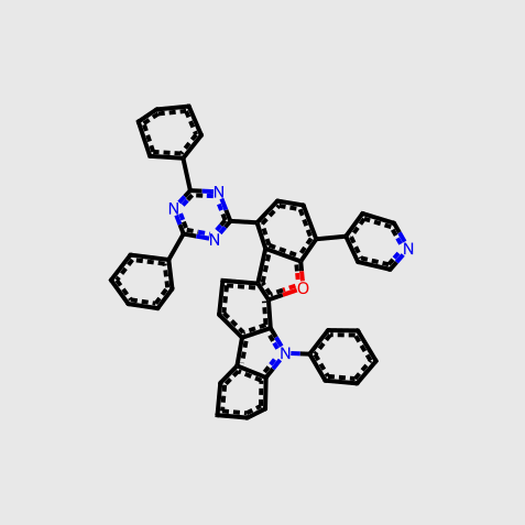 c1ccc(-c2nc(-c3ccccc3)nc(-c3ccc(-c4ccncc4)c4oc5c(ccc6c7ccccc7n(-c7ccccc7)c65)c34)n2)cc1